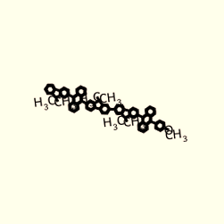 COc1ccc(-c2c3ccccc3c(-c3ccc4c(c3)C(C)(C)c3cc(-c5ccc6c(c5)C(C)(C)c5cc(-c7c8ccccc8c(-c8ccc9c(c8)C(C)(C)c8ccccc8-9)c8ccccc78)ccc5-6)ccc3-4)c3ccccc23)cc1